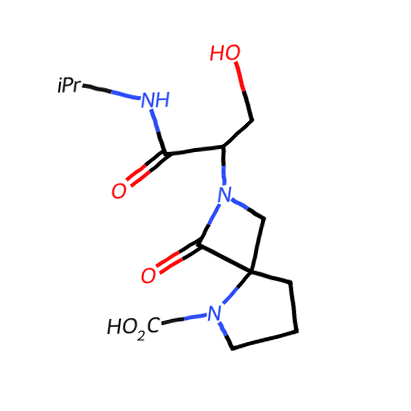 CC(C)NC(=O)C(CO)N1CC2(CCCN2C(=O)O)C1=O